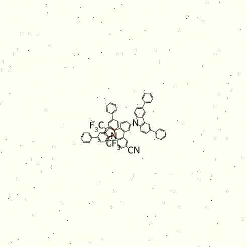 N#Cc1ccc(-n2c3ccc(-c4ccccc4)cc3c3cc(-c4ccccc4)ccc32)c(-c2cc(-n3c4ccc(-c5ccccc5)cc4c4cc(-c5ccccc5)ccc43)ccc2-c2cc(C(F)(F)F)cc(C(F)(F)F)c2)c1